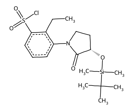 CCc1c(N2CC[C@H](O[Si](C)(C)C(C)(C)C)C2=O)cccc1S(=O)(=O)Cl